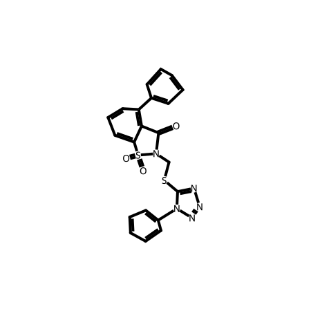 O=C1c2c(-c3ccccc3)cccc2S(=O)(=O)N1CSc1nnnn1-c1ccccc1